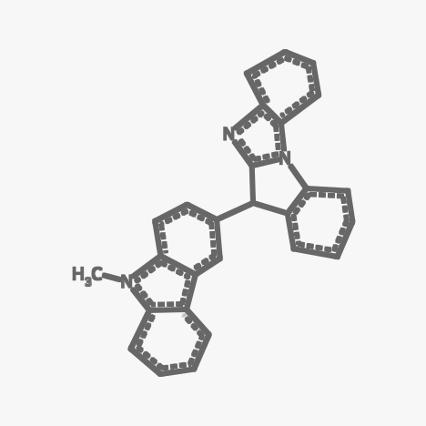 Cn1c2ccccc2c2cc(C3c4ccccc4-n4c3nc3ccccc34)ccc21